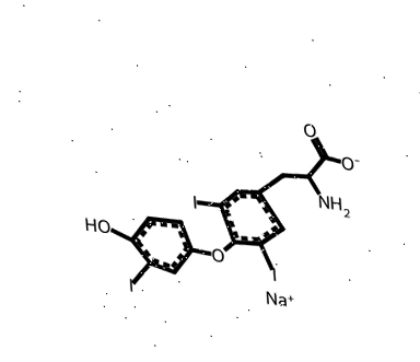 NC(Cc1cc(I)c(Oc2ccc(O)c(I)c2)c(I)c1)C(=O)[O-].[Na+]